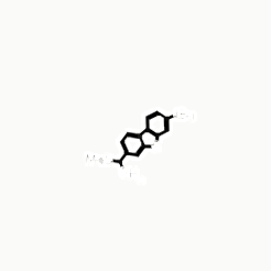 CSC(C)c1ccc2c(c1)sc1cc(C(C)(C)C)ccc12